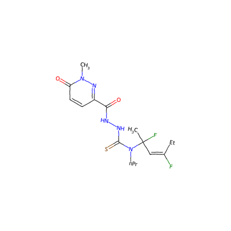 CCCN(C(=S)NNC(=O)c1ccc(=O)n(C)n1)C(C)(F)/C=C(/F)CC